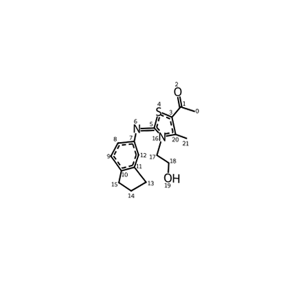 CC(=O)c1sc(=Nc2ccc3c(c2)CCC3)n(CCO)c1C